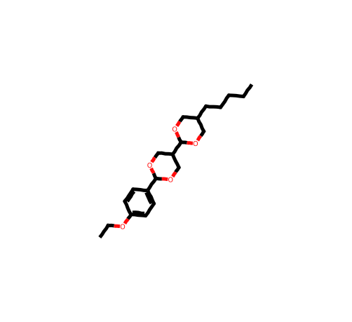 CCCCCC1COC(C2COC(c3ccc(OCC)cc3)OC2)OC1